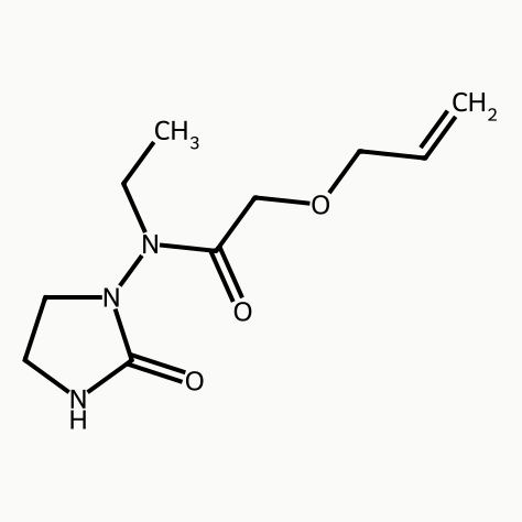 C=CCOCC(=O)N(CC)N1CCNC1=O